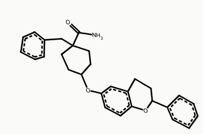 NC(=O)C1(Cc2ccccc2)CCC(Oc2ccc3c(c2)CCC(c2ccccc2)O3)CC1